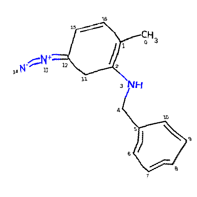 CC1=C(NCc2ccccc2)CC(=[N+]=[N-])C=C1